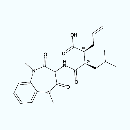 C=CC[C@H](C(=O)O)[C@@H](CC(C)C)C(=O)NC1C(=O)N(C)c2ccccc2N(C)C1=O